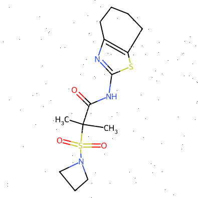 CC(C)(C(=O)Nc1nc2c(s1)CCCC2)S(=O)(=O)N1CCC1